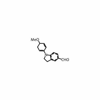 COC1C=CC(N2CCc3cc(C=O)ccc32)=CC1